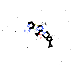 Cc1nc(N2CCC3(CC=C(C4CC4)C3)CC2)c(C2(O)CC2)nc1Sc1ccnc(N)c1Cl